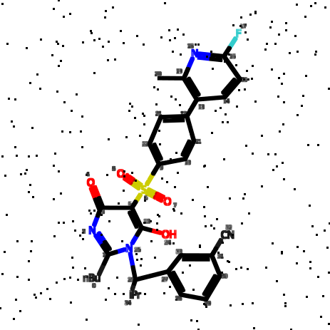 CCCCc1nc(=O)c(S(=O)(=O)c2ccc(-c3ccc(F)nc3C)cc2)c(O)n1C(c1cccc(C#N)c1)C(C)C